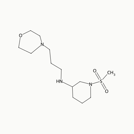 CS(=O)(=O)N1CCCC(NCCCN2CCOCC2)C1